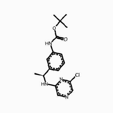 C[C@H](Nc1cncc(Cl)n1)c1cccc(NC(=O)OC(C)(C)C)c1